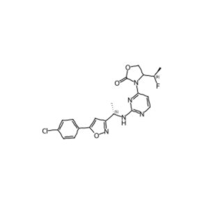 C[C@H](Nc1nccc(N2C(=O)OCC2[C@@H](C)F)n1)c1cc(-c2ccc(Cl)cc2)on1